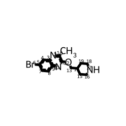 Cc1nc2cc(Br)ccc2nc1OCC1CCNCC1